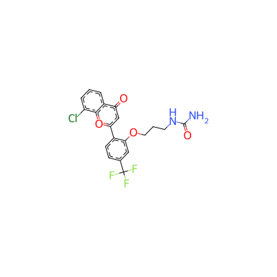 NC(=O)NCCCOc1cc(C(F)(F)F)ccc1-c1cc(=O)c2cccc(Cl)c2o1